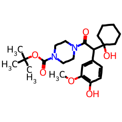 COc1cc(C(C(=O)N2CCN(C(=O)OC(C)(C)C)CC2)C2(O)CCCCC2)ccc1O